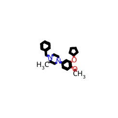 COc1ccc(N2CCN(Cc3ccccc3)[C@@H](C)C2)cc1OC1CCCC1